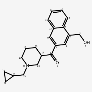 O=C(c1cc(CO)c2ccccc2c1)C1CCCN(CC2CC2)C1